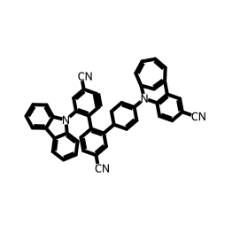 N#Cc1c#cc(-c2ccc(C#N)cc2C2C=CC(N3c4ccc(C#N)cc4C4=CC3C=CC=C4)=CC2)c(-n2c3ccccc3c3ccccc32)c1